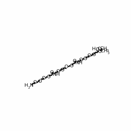 CC(C)(C)OC(=O)CCOCCOCCOCCOCCNC(=O)CCOCCOCCOCCOCCNC(=O)CCOCCOCCOCCOCCN